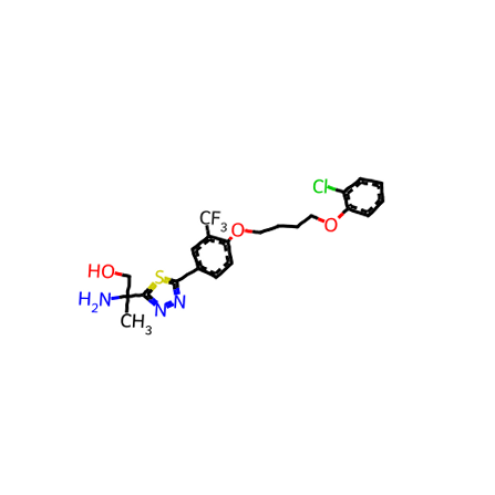 CC(N)(CO)c1nnc(-c2ccc(OCCCCOc3ccccc3Cl)c(C(F)(F)F)c2)s1